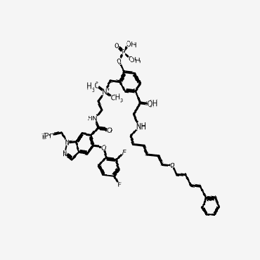 CC(C)Cn1ncc2cc(Oc3ccc(F)cc3F)c(C(=O)NCC[N+](C)(C)Cc3cc(C(O)CNCCCCCCOCCCCc4ccccc4)ccc3OP(=O)(O)O)cc21